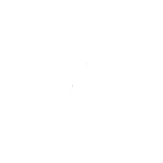 [CH2]C(=CCC)CCC